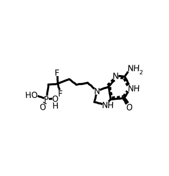 Nc1nc2c(c(=O)[nH]1)NCN2CCCC(F)(F)CP(=O)(O)O